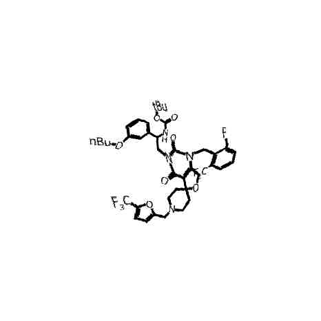 CCCCOc1cccc(C(Cn2c(=O)c3c(n(Cc4c(F)cccc4C(F)(F)F)c2=O)COC32CCN(Cc3ccc(C(F)(F)F)o3)CC2)NC(=O)OC(C)(C)C)c1